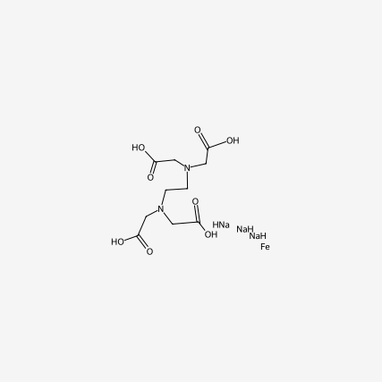 O=C(O)CN(CCN(CC(=O)O)CC(=O)O)CC(=O)O.[Fe].[NaH].[NaH].[NaH]